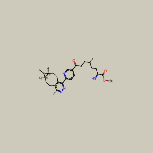 Cc1nnc(-c2ccc(C(=O)CCC(C)CCC(=N)C(=O)OC(C)(C)C)cn2)c2c1CC[C@@H]1C(C)[C@@H]1CC2